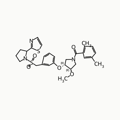 CO[C@@H]1CN(C(=O)c2cc(C)ccc2C)C[C@H]1Oc1cccc(CS(=O)(=O)N2CCCC2c2nccs2)c1